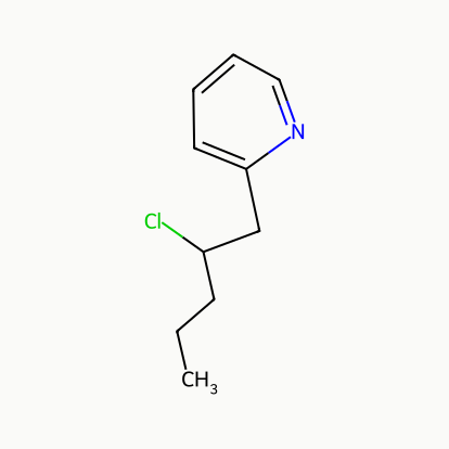 CCCC(Cl)Cc1ccccn1